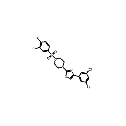 O=S(=O)(c1ccc(F)c(Cl)c1)N1CCN(c2nc(-c3cc(Cl)cc(Cl)c3)cs2)CC1